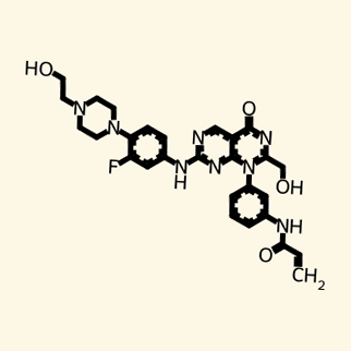 C=CC(=O)Nc1cccc(-n2c(CO)nc(=O)c3cnc(Nc4ccc(N5CCN(CCO)CC5)c(F)c4)nc32)c1